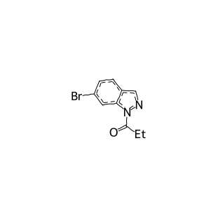 CCC(=O)n1ncc2ccc(Br)cc21